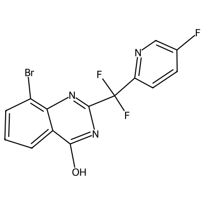 Oc1nc(C(F)(F)c2ccc(F)cn2)nc2c(Br)cccc12